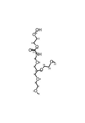 COCCOCC(COCNC(=O)OCCOO)OCCOC